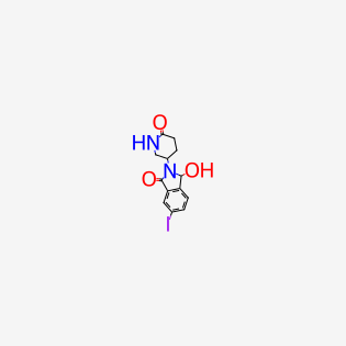 O=C1CCC(N2C(=O)c3cc(I)ccc3C2O)CN1